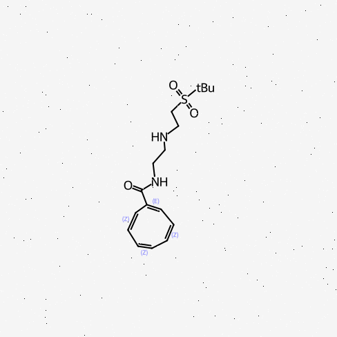 CC(C)(C)S(=O)(=O)CCNCCNC(=O)C1=C/C=C\C=C/C=C\1